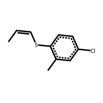 C/C=C\Sc1ccc(Cl)cc1C